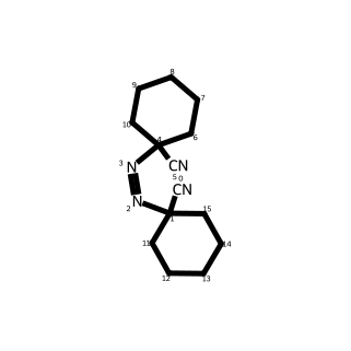 N#CC1(/N=N\C2(C#N)CCCCC2)CCCCC1